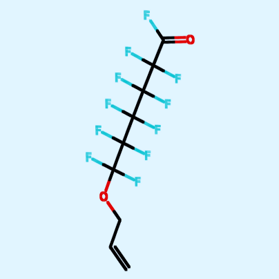 C=CCOC(F)(F)C(F)(F)C(F)(F)C(F)(F)C(F)(F)C(=O)F